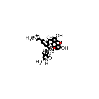 Cc1cc(C)c(CNC(=O)c2cc3cc(-c4cn(C)cn4)cn3c(C(C)c3cc(O)c4c5c3C[C@@H]3[C@@H]6C=C[C@H](O)[C@H](O4)[C@]56CCN3C)c2C)c(=O)[nH]1